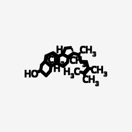 CC(C)=C(C)C=C[C@@H](C)[C@H]1CC[C@H]2C3=CC=C4CC(O)CC[C@]4(C)[C@H]3CC[C@]12C